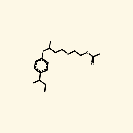 CCC(C)c1ccc(OC(C)CCOCCOC(C)=O)cc1